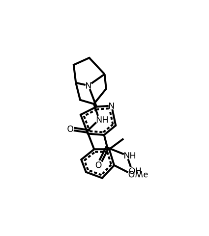 COc1cccc(C(=O)NC2CC3CCC(C2)N3c2ccc(C(=O)NO)cn2)c1C